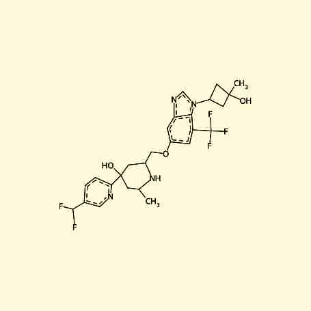 CC1CC(O)(c2ccc(C(F)F)cn2)CC(COc2cc(C(F)(F)F)c3c(c2)ncn3C2CC(C)(O)C2)N1